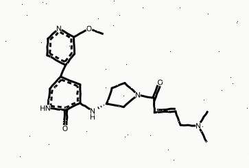 COc1cc(-c2c[nH]c(=O)c(N[C@@H]3CCN(C(=O)C=CCN(C)C)C3)c2)ccn1